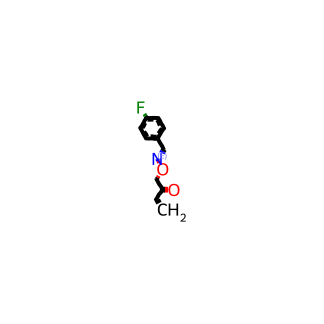 C=CC(=O)CO/N=C/c1ccc(F)cc1